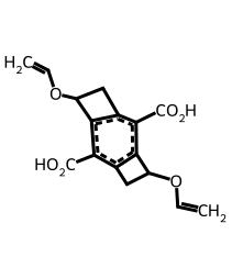 C=COC1Cc2c(C(=O)O)c3c(c(C(=O)O)c21)CC3OC=C